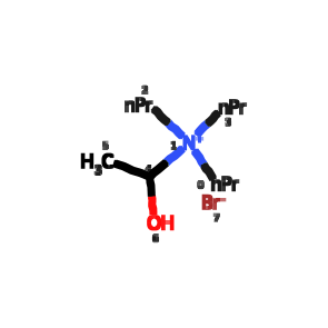 CCC[N+](CCC)(CCC)C(C)O.[Br-]